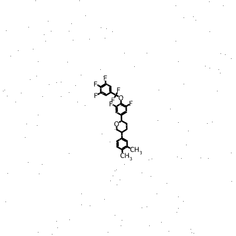 Cc1ccc(C2CCC(c3cc(F)c(OC(F)(F)c4cc(F)c(F)c(F)c4)c(F)c3)OC2)cc1C